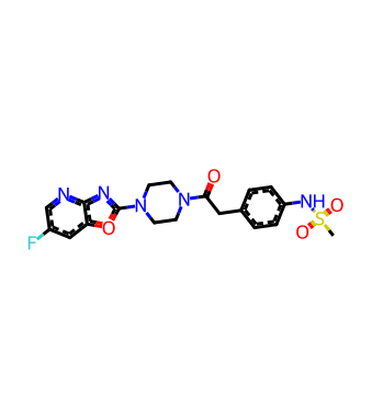 CS(=O)(=O)Nc1ccc(CC(=O)N2CCN(c3nc4ncc(F)cc4o3)CC2)cc1